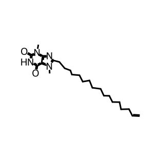 C=CCCCCCCCCCCCCCCCc1nc2c(c(=O)[nH]c(=O)n2C)n1C